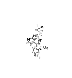 COc1cc(C(F)(F)F)ccc1-c1nnc(NC[C@H]2C[C@](C)(O)C2)c2cnccc12